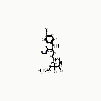 C/C=C(\C)C(CCN(C)/N=N\C(C)C(C)(C)CCN)Nc1ccc(OC)cc1